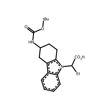 CCC(C(=O)O)n1c2c(c3ccccc31)CC(NC(=O)OC(C)(C)C)CC2